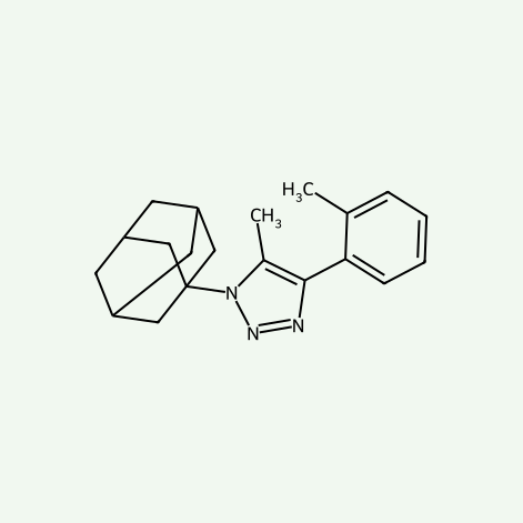 Cc1ccccc1-c1nnn(C23CC4CC(CC(C4)C2)C3)c1C